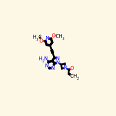 C=CC(=O)N1CC(n2nc(C#Cc3cc(OC)nc(OC)c3)c3c(N)ncnc32)C1